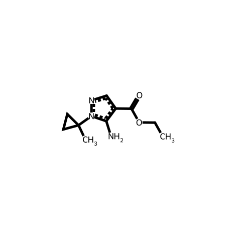 CCOC(=O)c1cnn(C2(C)CC2)c1N